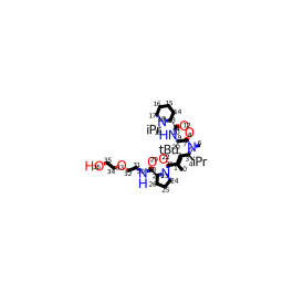 C/C(=C\[C@H](C(C)C)N(C)C(=O)[C@@H](NC(=O)[C@H]1CCCCN1C(C)C)C(C)(C)C)C(=O)N1CCC[C@H]1C(=O)NCCOCCO